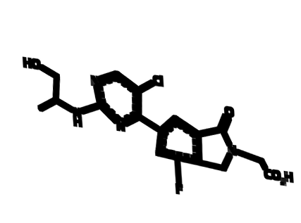 CC(CO)Nc1ncc(Cl)c(-c2cc(F)c3c(c2)C(=O)N(CC(=O)O)C3)n1